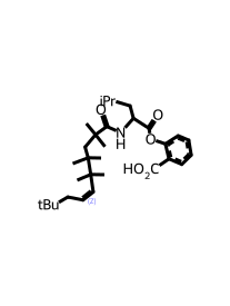 CC(C)CC(NC(=O)C(C)(C)CC(C)(C)C(C)(C)/C=C\CC(C)(C)C)C(=O)Oc1ccccc1C(=O)O